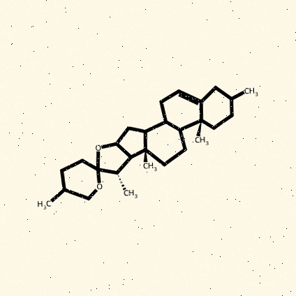 CC1CCC2(OC1)OC1CC3C4CC=C5CC(C)CC[C@]5(C)C4CC[C@]3(C)C1[C@@H]2C